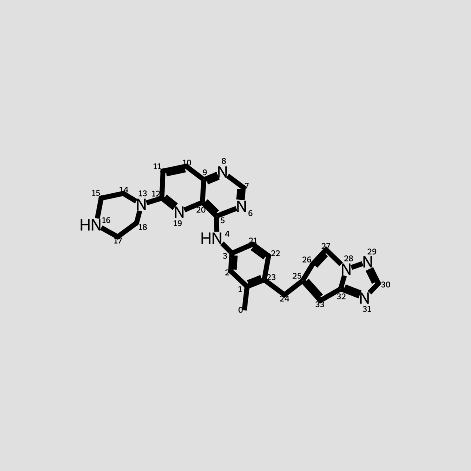 Cc1cc(Nc2ncnc3ccc(N4CCNCC4)nc23)ccc1Cc1ccn2ncnc2c1